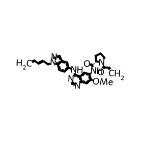 C=CC=CCn1ncc2cc(Nc3ncnc4cc(OC)c(NC(=O)[C@@H]5CCCN5C(=O)C=C)cc34)ccc21